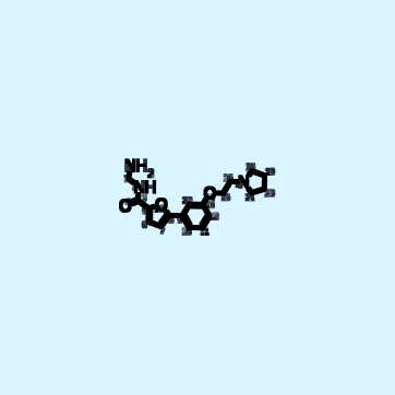 NCNC(=O)c1ccc(-c2cccc(OCCN3CCCC3)c2)o1